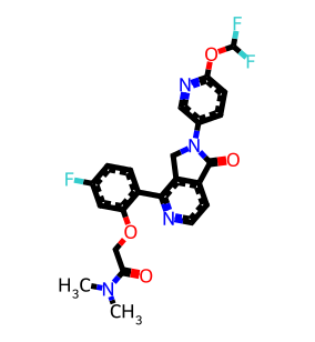 CN(C)C(=O)COc1cc(F)ccc1-c1nccc2c1CN(c1ccc(OC(F)F)nc1)C2=O